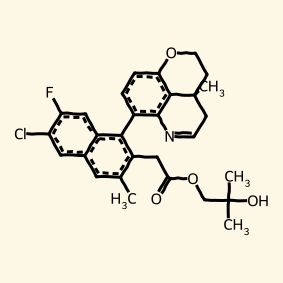 Cc1cc2cc(Cl)c(F)cc2c(-c2ccc3c4c2N=CCC4(C)CCO3)c1CC(=O)OCC(C)(C)O